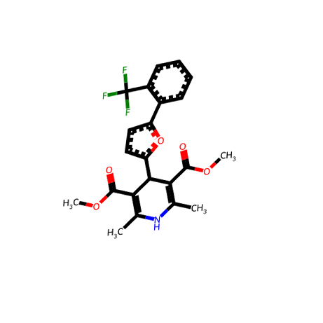 COC(=O)C1=C(C)NC(C)=C(C(=O)OC)C1c1ccc(-c2ccccc2C(F)(F)F)o1